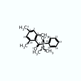 Cc1cc(C)c(C(=O)P(=O)(c2ccccc2)N(C)C)c(C)c1